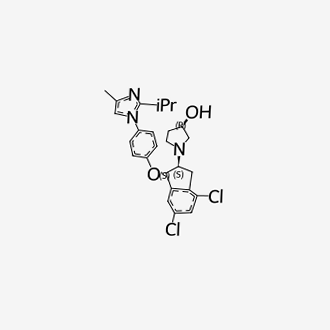 Cc1cn(-c2ccc(O[C@H]3c4cc(Cl)cc(Cl)c4C[C@@H]3N3CC[C@@H](O)C3)cc2)c(C(C)C)n1